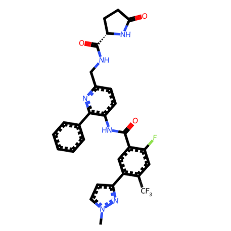 Cn1ccc(-c2cc(C(=O)Nc3ccc(CNC(=O)[C@@H]4CCC(=O)N4)nc3-c3ccccc3)c(F)cc2C(F)(F)F)n1